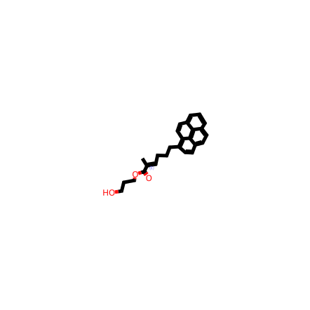 C/C(=C\CCCc1ccc2ccc3cccc4ccc1c2c34)C(=O)OCCCO